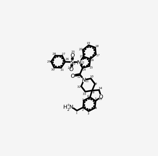 NCc1ccc2c(c1)C1(CCN(C(=O)c3cc4ccccc4n3S(=O)(=O)c3ccccc3)CC1)CO2